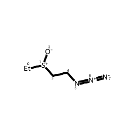 CC[S+]([O-])CCN=[N+]=[N-]